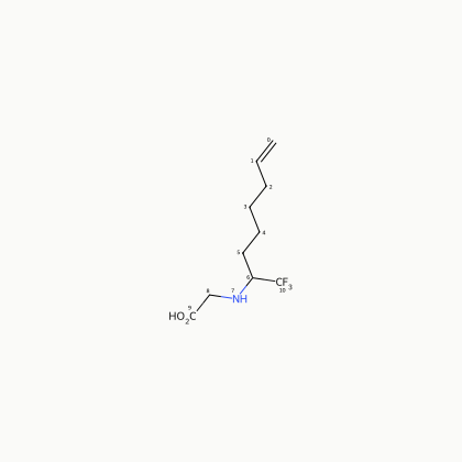 C=CCCCCC(NCC(=O)O)C(F)(F)F